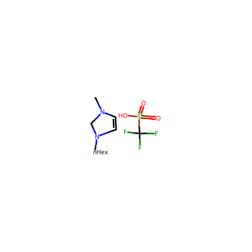 CCCCCCN1C=CN(C)C1.O=S(=O)(O)C(F)(F)F